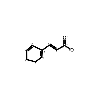 O=[N+]([O-])C=CC1=CCCC=C1